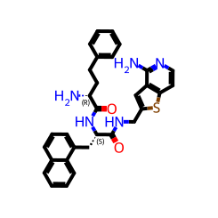 Nc1nccc2sc(CNC(=O)[C@H](Cc3cccc4ccccc34)NC(=O)[C@H](N)CCc3ccccc3)cc12